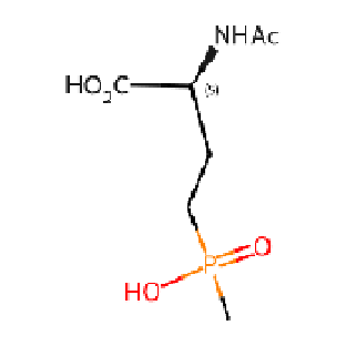 CC(=O)N[C@@H](CCP(C)(=O)O)C(=O)O